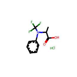 CC(C(=O)O)N(c1ccccc1)C(F)(F)F.Cl